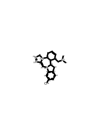 CN(C)CC1C=CCC2C1C1Cc3ccc(Cl)cc3N1C=C1N=NCN12